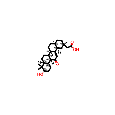 CC1(C)[C@@H](O)CC[C@]2(C)[C@H]3C(=O)C=C4[C@@H]5C[C@@](C)(CC(=O)O)CC[C@]5(C)CC[C@@]4(C)[C@]3(C)CC[C@@H]12